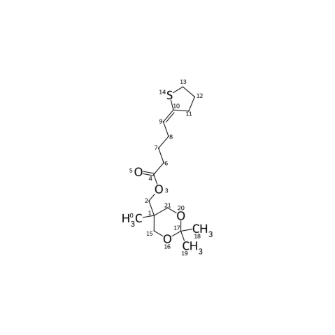 CC1(COC(=O)CCC/C=C2\CCCS2)COC(C)(C)OC1